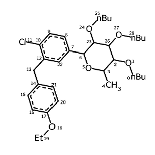 CCCCOC1C(C)OC(c2ccc(Cl)c(Cc3ccc(OCC)cc3)c2)C(OCCCC)C1OCCCC